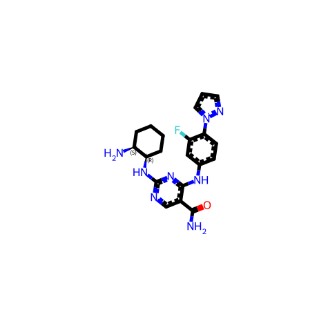 NC(=O)c1cnc(N[C@@H]2CCCC[C@@H]2N)nc1Nc1ccc(-n2cccn2)c(F)c1